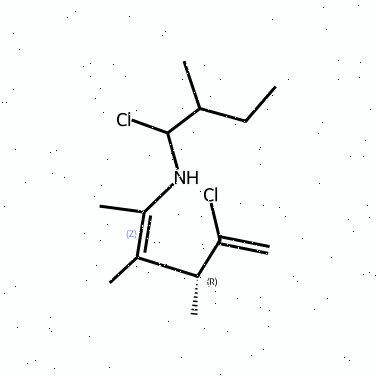 C=C(Cl)[C@H](C)/C(C)=C(/C)NC(Cl)C(C)CC